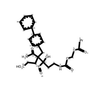 CC(C)C(=O)OCOC(=O)NCCC(O)(P=O)C(CCC(=O)O)(Cc1ccc(-c2ccccc2)cc1)C(N)=O